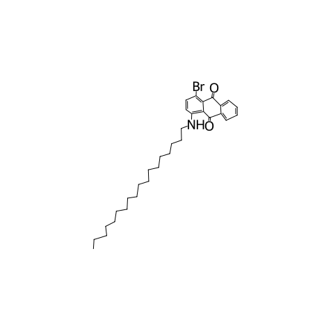 CCCCCCCCCCCCCCCCCCNc1ccc(Br)c2c1C(=O)c1ccccc1C2=O